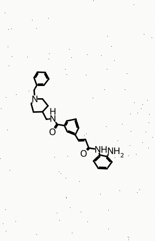 Nc1ccccc1NC(=O)C=Cc1cccc(C(=O)NCC2CCN(Cc3ccccc3)CC2)c1